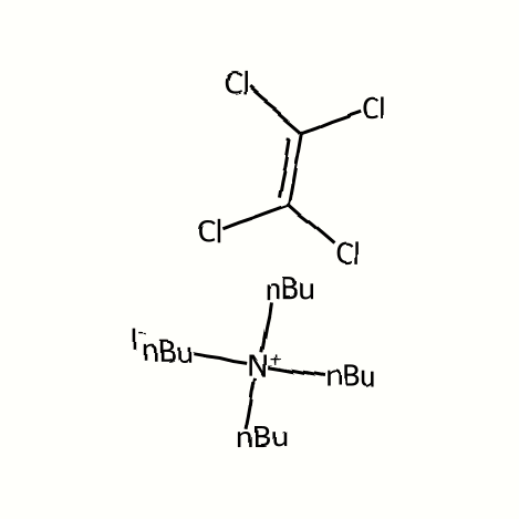 CCCC[N+](CCCC)(CCCC)CCCC.ClC(Cl)=C(Cl)Cl.[I-]